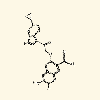 NC(=O)c1cc2cc(Cl)c(O)cc2cc1OCC(=O)c1c[nH]c2cc(C3CC3)ccc12